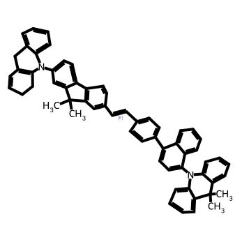 CC1(C)c2cc(/C=C/c3ccc(-c4ccc(N5c6ccccc6C(C)(C)c6ccccc65)c5ccccc45)cc3)ccc2-c2ccc(N3C4=C(C=CCC4)Cc4ccccc43)cc21